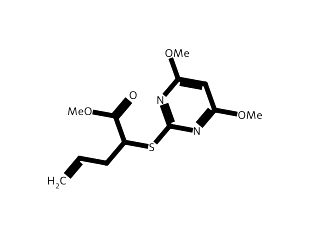 C=CCC(Sc1nc(OC)cc(OC)n1)C(=O)OC